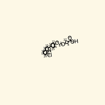 O=C(O)C1CC(OCCOc2ccc(-c3ccc4cccc(Cl)c4n3)cc2)C1